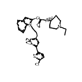 CCN1CCC(NC(=O)Oc2cc3ccccc3n2Cc2cc(-c3ccc(Cl)s3)on2)CC1